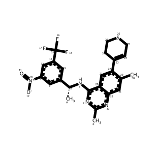 Cc1nc(N[C@H](C)c2cc([N+](=O)[O-])cc(C(F)(F)F)c2)c2cc(C3=CCSCC3)c(C)cc2n1